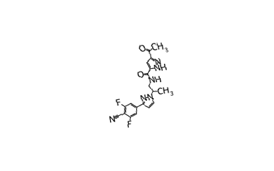 CC(=O)c1cc(C(=O)NCC(C)n2ccc(-c3cc(F)c(C#N)c(F)c3)n2)[nH]n1